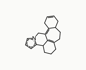 C1=CCC2CCC3=C4C(=C2C1)Cn1cccc1C4CCC3